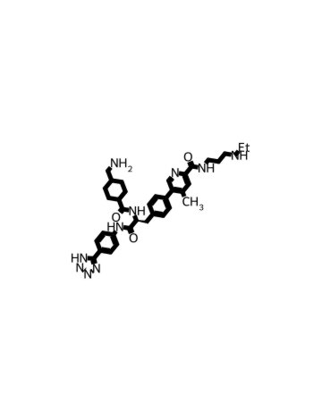 CCNCCCNC(=O)c1cc(C)c(-c2ccc(C[C@H](NC(=O)C3CCC(CN)CC3)C(=O)Nc3ccc(-c4nnn[nH]4)cc3)cc2)cn1